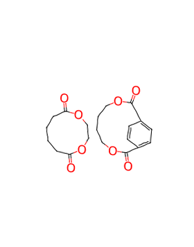 O=C1CCCCC(=O)OCCO1.O=C1OCCCCOC(=O)c2ccc1cc2